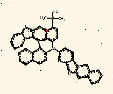 CC(C)(C)c1ccc(N(c2ccc3c(c2)oc2cc4ccccc4cc23)c2ccc3ccccc3c2-c2cccc3oc4ccccc4c23)cc1